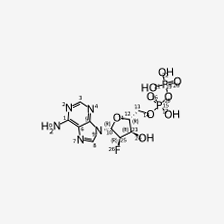 Nc1ncnc2c1ncn2[C@@H]1O[C@H](COP(=O)(O)OP(=O)(O)O)[C@@H](O)[C@H]1F